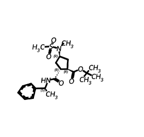 C[C@H](NC(=O)[C@@H]1C[C@@H](N(C)S(C)(=O)=O)C[C@H]1C(=O)OC(C)(C)C)c1ccccc1